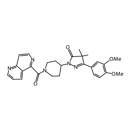 COc1ccc(C2=NN(C3CCN(C(=O)c4nccc5ncccc45)CC3)C(=O)C2(C)C)cc1OC